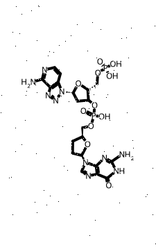 Nc1nc2c(ncn2[C@H]2CC[C@@H](COP(=O)(O)OC3C[C@H](n4nnc5c(N)nccc54)O[C@@H]3COP(=O)(O)O)O2)c(=O)[nH]1